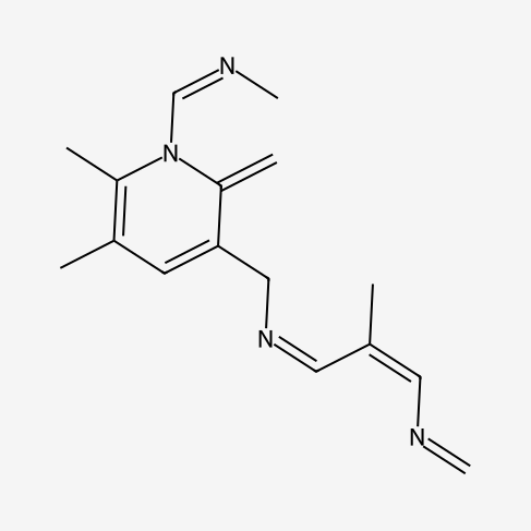 C=N/C=C(C)\C=N/CC1=CC(C)=C(C)N(/C=N\C)C1=C